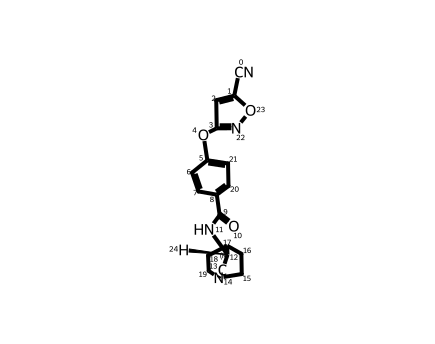 N#Cc1cc(Oc2ccc(C(=O)N[C@H]3CN4CCC3CC4)cc2)no1